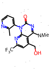 CNc1nc(=O)n(-c2cccnc2C)c2nc(C(F)(F)F)cc(CO)c12